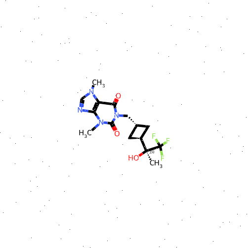 Cn1cnc2c1c(=O)n(C[C@H]1C[C@H]([C@](C)(O)C(F)(F)F)C1)c(=O)n2C